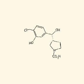 O=C(O)N1CC[C@@H](C(O)c2ccc(Cl)c(O)c2)C1